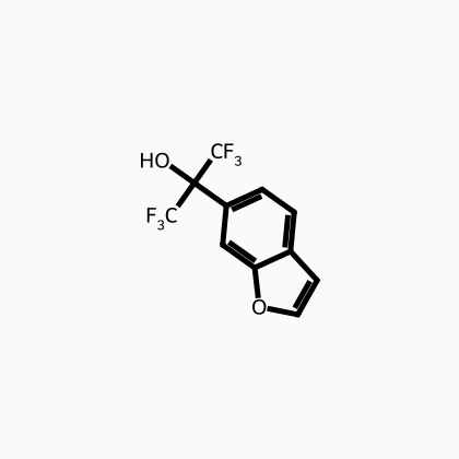 OC(c1ccc2ccoc2c1)(C(F)(F)F)C(F)(F)F